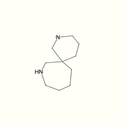 C1CCC2(CCC[N]C2)CNC1